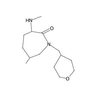 CNC1CCC(C)CN(CC2CCOCC2)C1=O